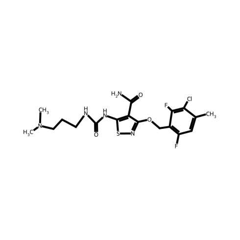 Cc1cc(F)c(COc2nsc(NC(=O)NCCCN(C)C)c2C(N)=O)c(F)c1Cl